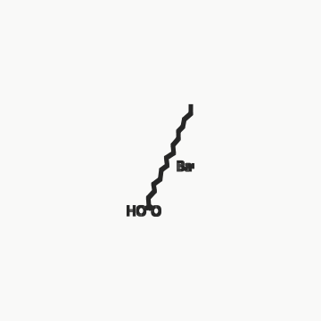 CCCCCCCCCCCCCCCC(=O)O.[Ba]